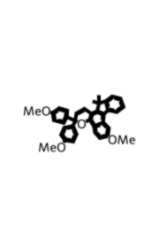 COc1ccc(C2(c3ccc(OC)cc3)C=Cc3c4c(c5cc(OC)ccc5c3O2)-c2ccccc2C4(C)C)cc1